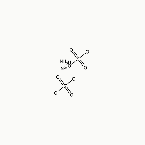 N.O=S(=O)([O-])O.O=S(=O)([O-])[O-].[N+3]